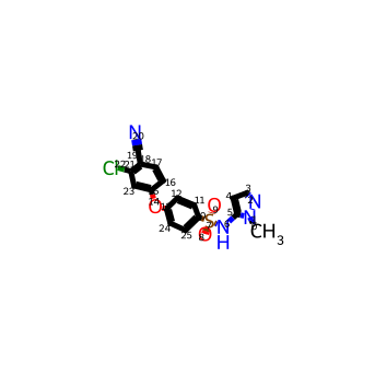 Cn1nccc1NS(=O)(=O)c1ccc(Oc2ccc(C#N)c(Cl)c2)cc1